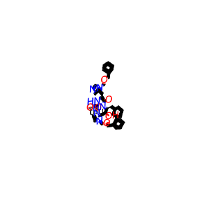 CC(C)(C)OC(=O)N[C@@H](Cc1cncn1COCc1ccccc1)C(=O)N[C@@H](CC1CCCCC1)[C@@H](O)c1nccn1COCc1ccccc1